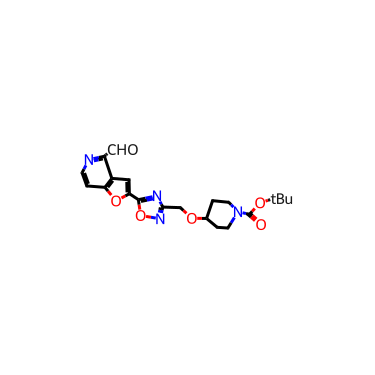 CC(C)(C)OC(=O)N1CCC(OCc2noc(-c3cc4c(C=O)nccc4o3)n2)CC1